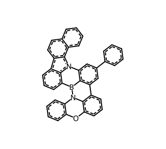 c1ccc(-c2cc3c4c(c2)-n2c5c(cccc5c5ccc6ccccc6c52)B4N2c4ccccc4Oc4cccc-3c42)cc1